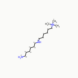 C[N+](C)(C)CCCCCCNCCCCCCN